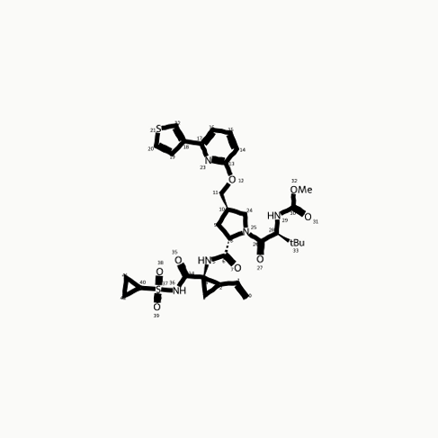 C=CC1C[C@]1(NC(=O)[C@@H]1C[C@@H](COc2cccc(-c3ccsc3)n2)CN1C(=O)[C@@H](NC(=O)OC)C(C)(C)C)C(=O)NS(=O)(=O)C1CC1